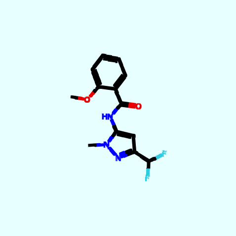 COc1ccccc1C(=O)Nc1cc(C(F)F)nn1C